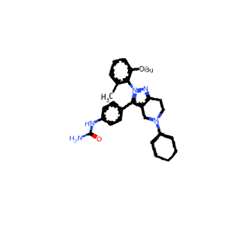 Cc1cccc(OCC(C)C)c1-n1nc2c(c1-c1ccc(NC(N)=O)cc1)CN(C1CCCCC1)CC2